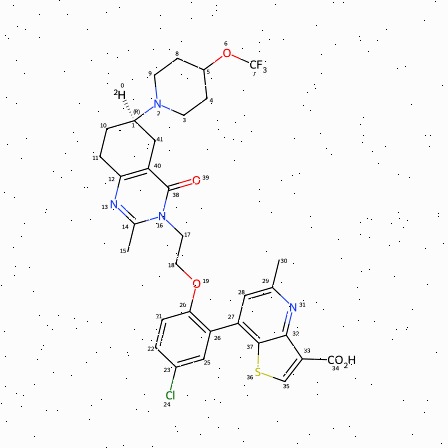 [2H][C@@]1(N2CCC(OC(F)(F)F)CC2)CCc2nc(C)n(CCOc3ccc(Cl)cc3-c3cc(C)nc4c(C(=O)O)csc34)c(=O)c2C1